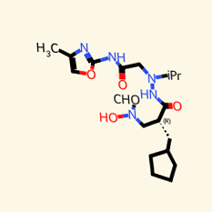 Cc1coc(NC(=O)CN(NC(=O)[C@H](CC2CCCC2)CN(O)C=O)C(C)C)n1